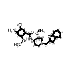 COc1cc(N)c(Cl)cc1C(=O)N[C@H]1CCN(Cc2cc3ccccc3o2)C[C@H]1OC